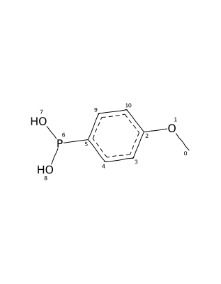 COc1ccc(P(O)O)cc1